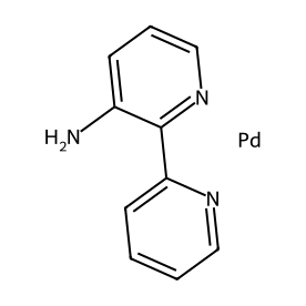 Nc1cccnc1-c1ccccn1.[Pd]